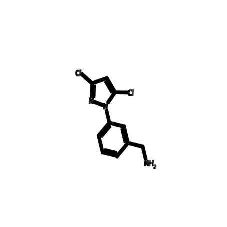 NCc1[c]ccc(-n2nc(Cl)cc2Cl)c1